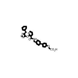 O=C(O)COc1ccc(-c2ccc(CNC(=O)c3cccnc3Oc3nonc3Cc3ccccc3)cc2)cc1